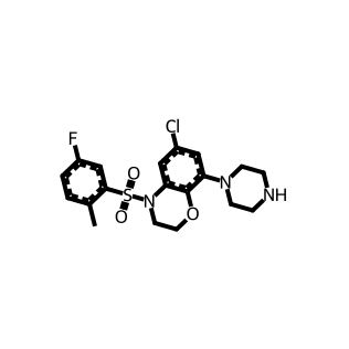 Cc1ccc(F)cc1S(=O)(=O)N1CCOc2c(N3CCNCC3)cc(Cl)cc21